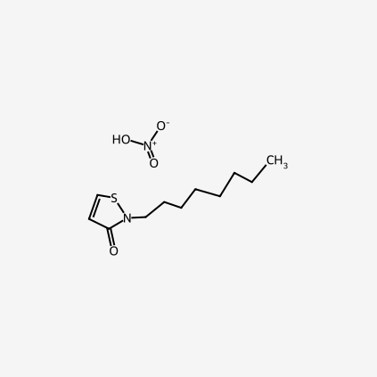 CCCCCCCCn1sccc1=O.O=[N+]([O-])O